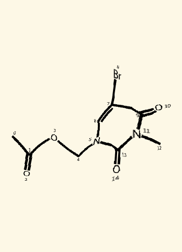 CC(=O)OCn1cc(Br)c(=O)n(C)c1=O